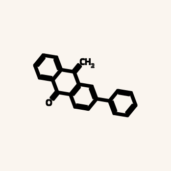 C=C1c2ccccc2C(=O)c2ccc(-c3ccccc3)cc21